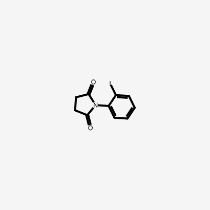 O=C1CCC(=O)N1c1ccccc1I